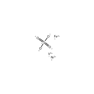 O=S(=O)([O-])[O-].[Fe+2].[Ni+2].[V+5]